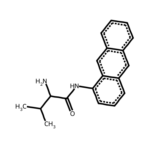 CC(C)C(N)C(=O)Nc1cccc2cc3ccccc3cc12